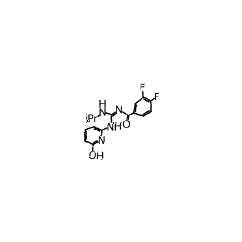 CC(C)N/C(=N/C(=O)c1ccc(F)c(F)c1)Nc1cccc(O)n1